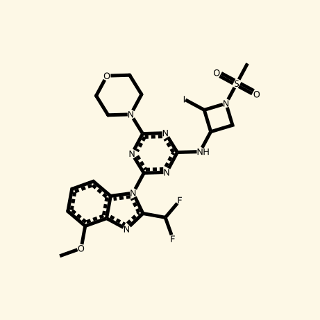 COc1cccc2c1nc(C(F)F)n2-c1nc(NC2CN(S(C)(=O)=O)C2I)nc(N2CCOCC2)n1